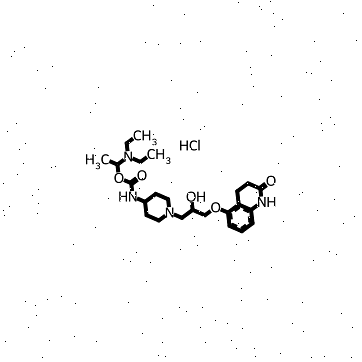 CCN(CC)C(C)OC(=O)NC1CCN(CC(O)COc2cccc3c2CCC(=O)N3)CC1.Cl